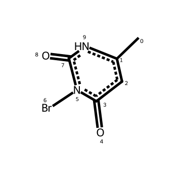 Cc1cc(=O)n(Br)c(=O)[nH]1